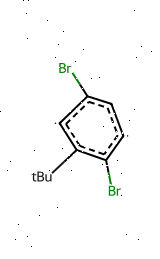 CC(C)(C)c1[c]c(Br)c[c]c1Br